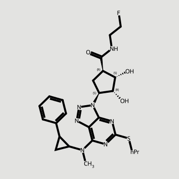 CCCSc1nc(N(C)C2CC2c2ccccc2)c2nnn([C@H]3C[C@@H](C(=O)NCCF)[C@H](O)[C@@H]3O)c2n1